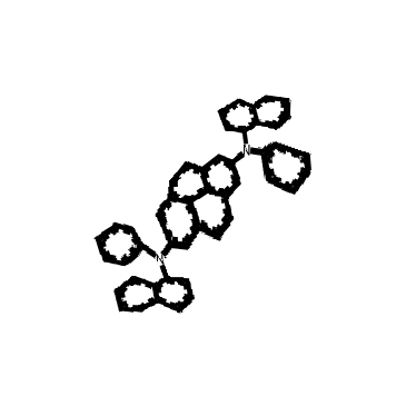 c1ccc(N(c2cc3ccc4cc(N(c5ccccc5)c5cccc6ccccc56)cc5ccc(c2)c3c45)c2cccc3ccccc23)cc1